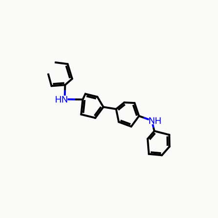 C/C=C\C(=C/C)Nc1ccc(-c2ccc(Nc3ccccc3)cc2)cc1